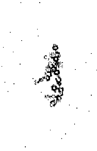 COc1cc(CN2CCN(C3CC4(CCN(c5ccc(C(=O)NS(=O)(=O)c6cc7c(c([N+](=O)[O-])c6)N[C@H](C6CCOCC6)CO7)c(N6c7cc8ccn(COCC[Si](C)(C)C)c8nc7O[C@H]7COCC[C@@H]76)c5)CC4)C3)[C@H](c3ccccc3C)C2)cnc1N1CCOCC1